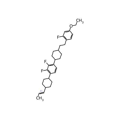 C/C=C/C1CCC(c2ccc(C3CCC(CCc4ccc(OCC)cc4F)CC3)c(F)c2F)CC1